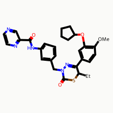 CCC1SC(=O)N(Cc2cccc(NC(=O)c3cnccn3)c2)N=C1c1ccc(OC)c(OC2CCCC2)c1